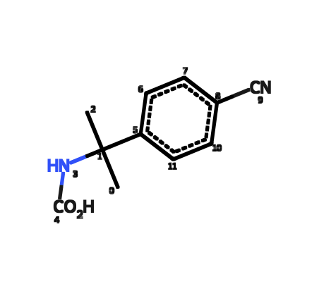 CC(C)(NC(=O)O)c1ccc(C#N)cc1